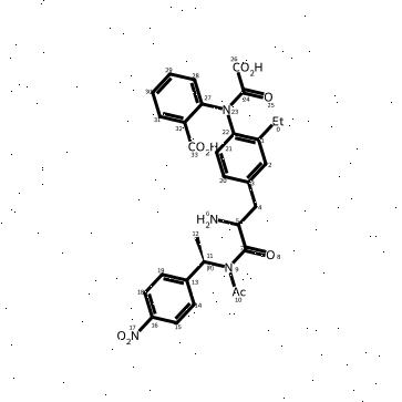 CCc1cc(CC(N)C(=O)N(C(C)=O)[C@H](C)c2ccc([N+](=O)[O-])cc2)ccc1N(C(=O)C(=O)O)c1ccccc1C(=O)O